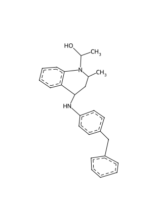 CC(O)N1c2ccccc2C(Nc2ccc(Cc3ccccc3)cc2)CC1C